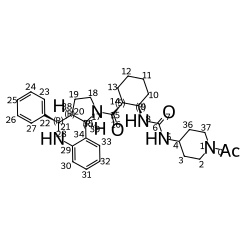 CC(=O)N1CCC(NC(=O)N[C@@H]2CCCC[C@@H]2C(=O)N2CC[C@@H]3[C@H](c4ccccc4)Nc4ccccc4[C@@H]32)CC1